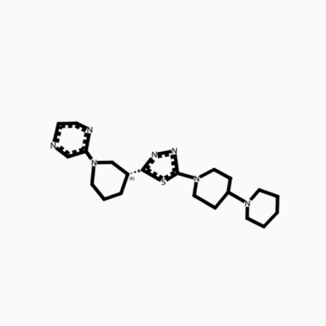 c1cnc(N2CCC[C@@H](c3nnc(N4CCC(N5CCCCC5)CC4)s3)C2)cn1